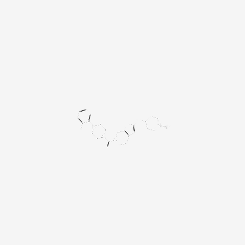 Cc1ccccc1N1CCN(C(=O)N2CCc3cc(OC4CCN(C(C)C)CC4)sc3C2)CC1